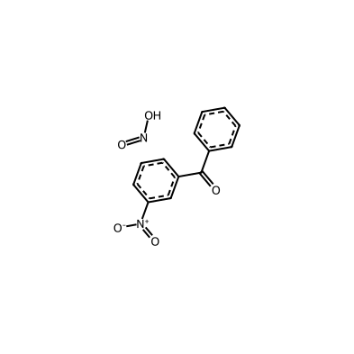 O=C(c1ccccc1)c1cccc([N+](=O)[O-])c1.O=NO